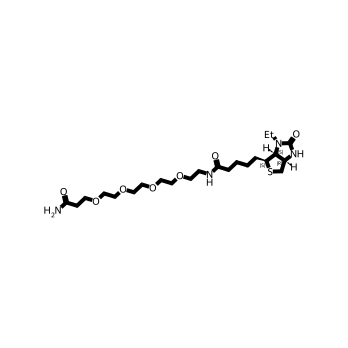 CCN1C(=O)N[C@H]2CS[C@@H](CCCCC(=O)NCCOCCOCCOCCOCCC(N)=O)[C@H]21